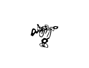 C#CCN1CC(=O)N2[C@@H](Cc3ccccc3)C(=O)N(Cc3ccc4c(c3)OCO4)C[C@@H]2N1C(=O)NCc1ccccc1